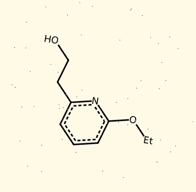 CCOc1cccc(CCO)n1